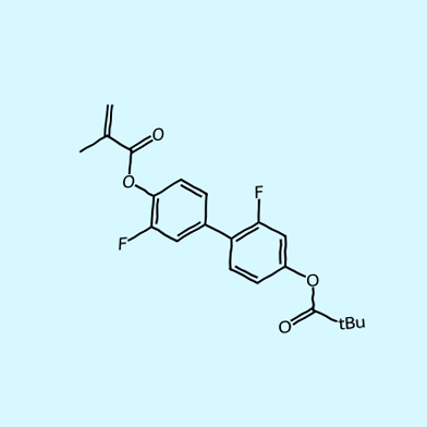 C=C(C)C(=O)Oc1ccc(-c2ccc(OC(=O)C(C)(C)C)cc2F)cc1F